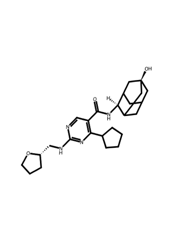 O=C(N[C@H]1C2CC3CC1C[C@@](O)(C3)C2)c1cnc(NC[C@@H]2CCCO2)nc1C1CCCC1